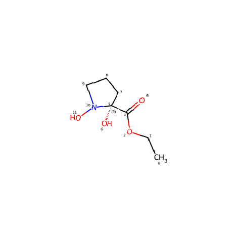 CCOC(=O)[C@]1(O)CCCN1O